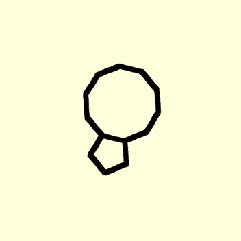 C1CCCCC2CCC[C]2CCC1